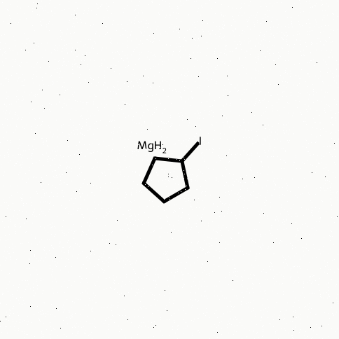 IC1CCCC1.[MgH2]